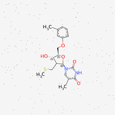 CSCC1[C@H](n2cc(C)c(=O)[nH]c2=O)O[C@H](COc2cccc(C)c2)[C@H]1O